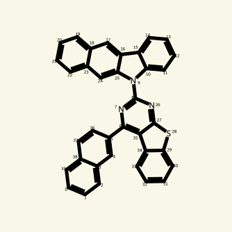 c1ccc2cc(-c3nc(-n4c5ccccc5c5cc6ccccc6cc54)nc4sc5ccccc5c34)ccc2c1